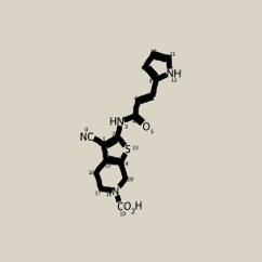 N#Cc1c(NC(=O)C=Cc2ccc[nH]2)sc2c1CCN(C(=O)O)C2